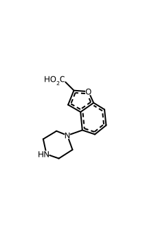 O=C(O)c1cc2c(N3CCNCC3)cccc2o1